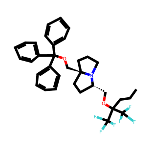 CCCC(OC[C@@H]1CC[C@]2(COC(c3ccccc3)(c3ccccc3)c3ccccc3)CCCN12)(C(F)(F)F)C(F)(F)F